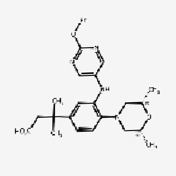 CCOc1ncc(Nc2cc(C(C)(C)CC(=O)O)ccc2N2C[C@@H](C)O[C@@H](C)C2)cn1